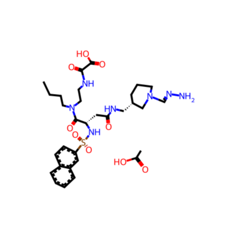 CC(=O)O.CCCCN(CCNC(=O)C(=O)O)C(=O)[C@H](CC(=O)NC[C@@H]1CCCN(C=NN)C1)NS(=O)(=O)c1ccc2ccccc2c1